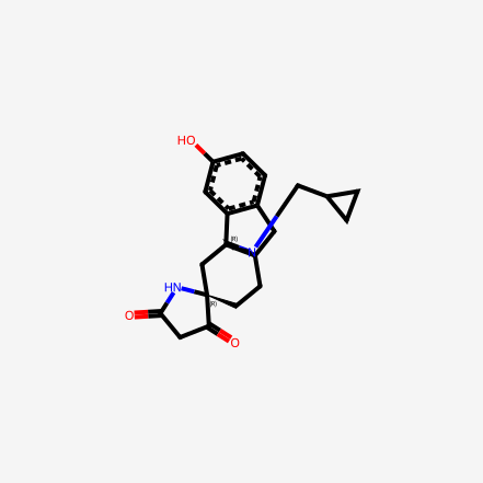 O=C1CC(=O)[C@]2(CCC34Cc5ccc(O)cc5[C@@]3(CCN(CC3CC3)C4)C2)N1